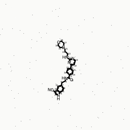 N#Cc1c[nH]c2ccc(CCNC(=O)c3ccc(-c4ccnc(NCCCN5CCOCC5)n4)cc3)cc12